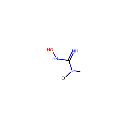 CCN(C)C(=N)NO